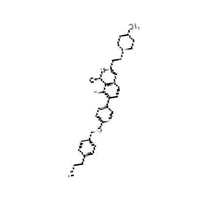 CCCc1ccc(COc2ccc(-c3ccc4cc(CCC5CCC(C)CC5)oc(=O)c4c3F)cc2)cc1